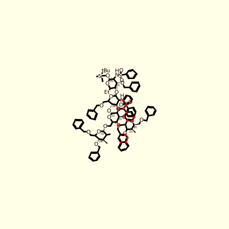 CCC1O[C@H](O[Si](C)(C)C(C)(C)C)C(NS(=O)(=O)c2ccccc2)[C@H](OCc2ccccc2)[C@@H]1O[C@@H]1OC(COCc2ccccc2)[C@@H](O[C@@H]2OC(CO[C@H]3OC(COCc4ccccc4)[C@@H](OCc4ccccc4)[C@H](C)C3C)[C@@H](OCc3ccccc3)[C@H](O[C@H]3O[C@@H](COCc4ccccc4)[C@@H](C)C(OCc4ccccc4)C3C)C2OCc2ccccc2)[C@@H](OCc2ccccc2)C1NS(=O)(=O)c1ccccc1